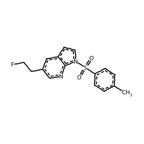 Cc1ccc(S(=O)(=O)n2ccc3cc(CCF)cnc32)cc1